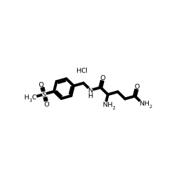 CS(=O)(=O)c1ccc(CNC(=O)C(N)CCC(N)=O)cc1.Cl